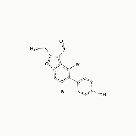 CCc1oc2cc(Br)c(-c3ccc(O)cc3)c(Br)c2c1C=O